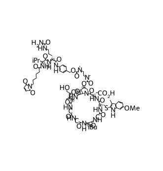 CC[C@H](C)[C@H]1NC(=O)CNC(=O)CNC(=O)[C@@H]([C@@H](C)[C@@H](O)CO)NC(=O)C2C[C@H](OC(=O)N(C)CCN(C)C(=O)OCc3ccc(NC(=O)[C@@H](CCCNC(N)=O)NC(=O)[C@@H](NC(=O)CCCCCN4C(=O)C=CC4=O)C(C)C)cc3)CN2C(=O)[C@H](CC(=O)O)NC(=O)[C@H](CSc2[nH]c3cc(OC)ccc3c2C)NC(=O)CNC1=O